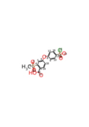 CS(=O)(=O)c1cc(Oc2ccc(S(=O)(=O)Cl)cc2)ccc1C(=O)O